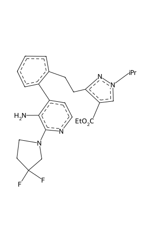 CCOC(=O)c1cn(C(C)C)nc1CCc1ccccc1-c1ccnc(N2CCC(F)(F)C2)c1N